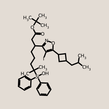 CC(C)CC1CC(c2onc(C(CCCC(C)(C)[Si](O)(c3ccccc3)c3ccccc3)CC(=O)OC(C)(C)C)c2I)C1